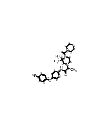 C[C@@H](C(=O)Nc1ccc(Oc2ccc(F)cc2)cn1)N1CCN(C(=O)N2CCOCC2)C(C)(C)C1